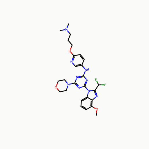 COc1cccc2c1nc(C(F)F)n2-c1nc(Nc2ccc(OCCCN(C)C)nc2)nc(N2CCOCC2)n1